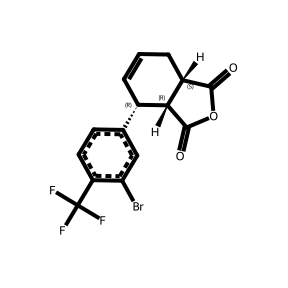 O=C1OC(=O)[C@H]2CC=C[C@@H](c3ccc(C(F)(F)F)c(Br)c3)[C@@H]12